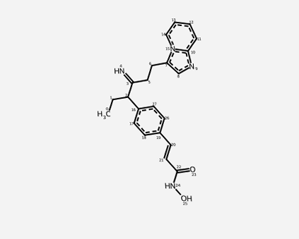 CCC(C(=N)CCc1cnc2ccccn12)c1ccc(/C=C/C(=O)NO)cc1